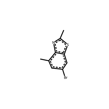 Cc1nc2c(C)cc(Br)cc2s1